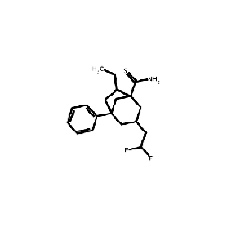 CCC1CC2(c3ccccc3)CC(CC(F)F)CC1(C(N)=S)C2